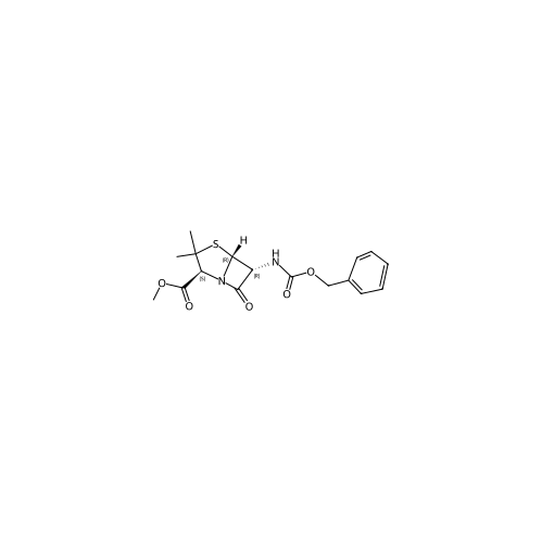 COC(=O)[C@@H]1N2C(=O)[C@@H](NC(=O)OCc3ccccc3)[C@H]2SC1(C)C